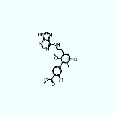 CNC(=O)c1ccc(-c2c(C)c(Cl)cc(CCNc3ncnc4[nH]cnc34)c2OC)cc1Cl